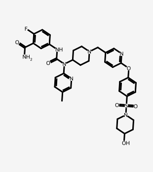 Cc1ccc(N(C(=O)Nc2ccc(F)c(C(N)=O)c2)C2CCN(Cc3ccc(Oc4ccc(S(=O)(=O)N5CCC(O)CC5)cc4)nc3)CC2)nc1